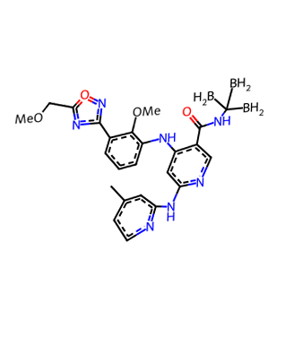 BC(B)(B)NC(=O)c1cnc(Nc2cc(C)ccn2)cc1Nc1cccc(-c2noc(COC)n2)c1OC